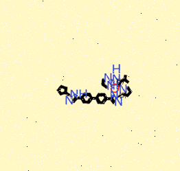 CC(C)[C@H](Nc1ncccn1)C(=O)N1CCC[C@H]1c1ncc(-c2ccc(-c3ccc(-c4cnc(C5CCCC5)[nH]4)cc3)cc2)[nH]1